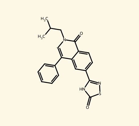 CC(C)Cn1[c]c(-c2ccccc2)c2cc(-c3nsc(=O)[nH]3)ccc2c1=O